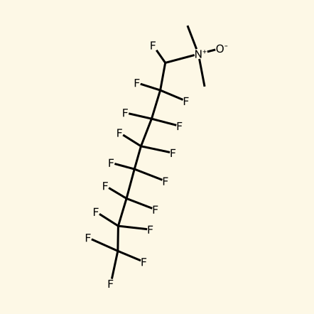 C[N+](C)([O-])C(F)C(F)(F)C(F)(F)C(F)(F)C(F)(F)C(F)(F)C(F)(F)C(F)(F)F